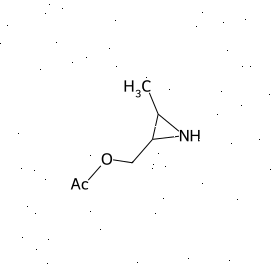 CC(=O)OCC1NC1C